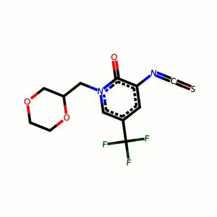 O=c1c(N=C=S)cc(C(F)(F)F)cn1CC1COCCO1